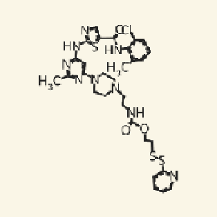 Cc1nc(Nc2ncc(C(=O)Nc3c(C)cccc3Cl)s2)cc(N2CCN(CCNC(=O)OCCSSc3ccccn3)CC2)n1